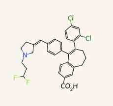 O=C(O)c1ccc2c(c1)CCCC(c1ccc(Cl)cc1Cl)=C2c1ccc(C=C2CCN(CCC(F)F)C2)cc1